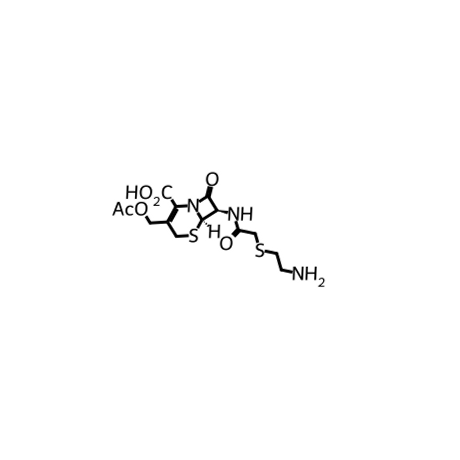 CC(=O)OCC1=C(C(=O)O)N2C(=O)[C@@H](NC(=O)CSCCN)[C@H]2SC1